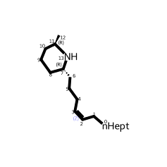 CCCCCCCC/C=C\CCC[C@@H]1CCC[C@@H](C)N1